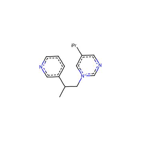 CC(C)c1cnc[n+](CC(C)c2cccnc2)c1